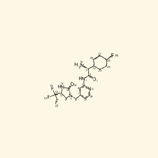 N[C@H](C(=O)Nc1cc(CN2C[C@@H](C(F)(F)F)NC2=O)ccn1)C1CCC(F)CC1